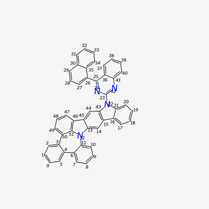 c1ccc2c(c1)-c1ccccc1-n1c3cc4c5ccccc5n(-c5nc(-c6cccc7ccccc67)c6ccccc6n5)c4cc3c3cccc-2c31